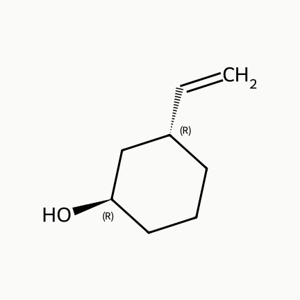 C=C[C@@H]1CCC[C@@H](O)C1